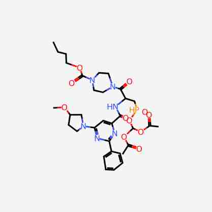 CCCCOC(=O)N1CCN(C(=O)C(C[PH](=O)OC(OC(C)=O)OC(C)=O)NC(=O)c2cc(N3CCC(OC)C3)nc(-c3ccccc3)n2)CC1